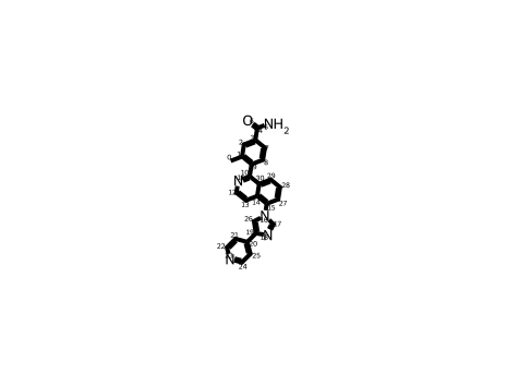 Cc1cc(C(N)=O)ccc1-c1nccc2c(-n3cnc(-c4ccncc4)c3)cccc12